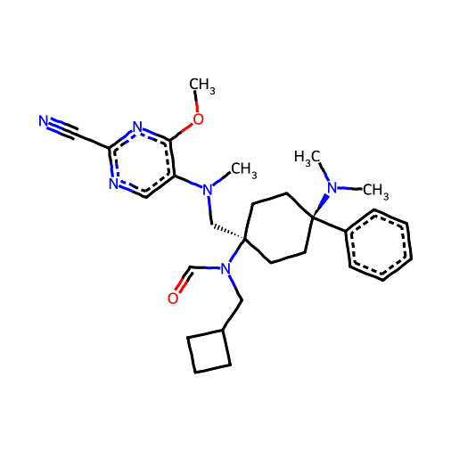 COc1nc(C#N)ncc1N(C)C[C@]1(N(C=O)CC2CCC2)CC[C@@](c2ccccc2)(N(C)C)CC1